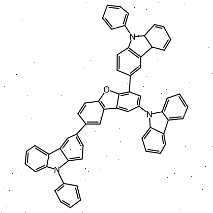 C1=CC2c3cc(-c4cc(-n5c6ccccc6c6ccccc65)cc5c4oc4ccc(-c6ccc7c(c6)c6ccccc6n7-c6ccccc6)cc45)ccc3N(c3ccccc3)C2C=C1